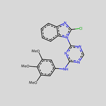 COc1cc(Nc2ncnc(-n3c(Cl)nc4ccccc43)n2)cc(OC)c1OC